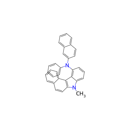 Cn1c2cccc(N(c3ccccc3)c3ccc4ccccc4c3)c2c2c3ccccc3ccc21